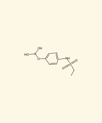 CCS(=O)(=O)Nc1ccc(OB(O)O)cc1